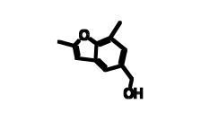 Cc1cc2cc(CO)cc(C)c2o1